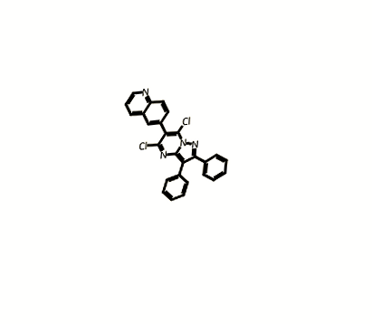 Clc1nc2c(-c3ccccc3)c(-c3ccccc3)nn2c(Cl)c1-c1ccc2ncccc2c1